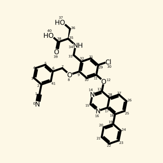 N#Cc1cccc(COc2cc(Oc3ncnc4c(-c5ccccc5)cccc34)c(Cl)cc2CN[C@H](CO)C(=O)O)c1